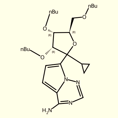 CCCCOC[C@H]1OC(c2ccc3c(N)ncnn23)(C2CC2)[C@H](OCCCC)[C@@H]1OCCCC